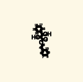 O=C(OC=Cc1ccccc1)C(O)=C(O)c1ccccc1